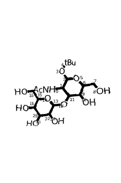 CC(=O)NC1C(OC(C)(C)C)OC(CO)C(O)C1OC1OC(CO)C(O)C(O)C1O